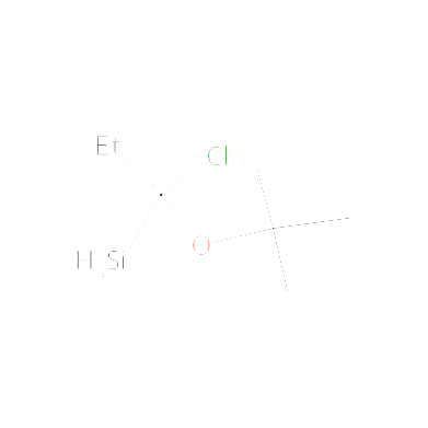 CCC([SiH3])(Cl)OC(C)(C)C